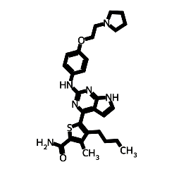 CCCCc1c(-c2nc(Nc3ccc(OCCN4CCCC4)cc3)nc3[nH]ccc23)sc(C(N)=O)c1C